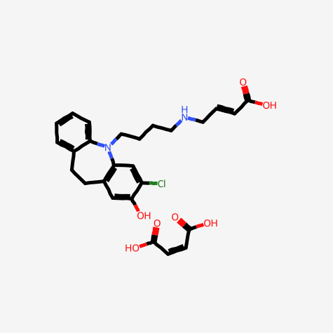 O=C(O)/C=C/CNCCCCN1c2ccccc2CCc2cc(O)c(Cl)cc21.O=C(O)/C=C\C(=O)O